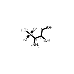 NC(C(O)CO)S(=O)(=O)O